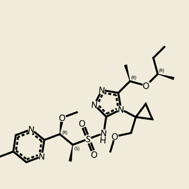 CC[C@@H](C)O[C@H](C)c1nnc(NS(=O)(=O)[C@@H](C)[C@H](OC)c2ncc(Cl)cn2)n1C1(COC)CC1